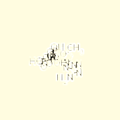 CC(Cc1nnc2c(N)ncnn12)OCP(=O)(O)OP(=O)(O)OP(=O)(O)O